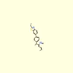 C=N/C(=C\C=C/C)C(C)c1ccc(-c2ccc3nc(CC)sc3c2)cc1